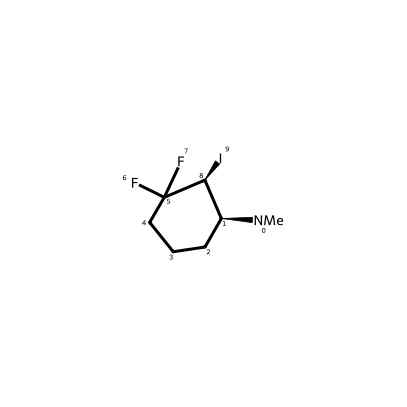 CN[C@H]1CCCC(F)(F)[C@H]1I